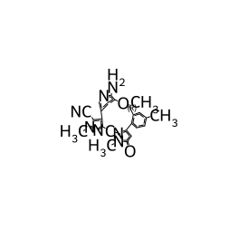 Cc1ccc2c(c1)[C@@H](C)Oc1cc(cnc1N)-c1c(nn(C)c1C#N)Cn1c-2cc(=O)n1C